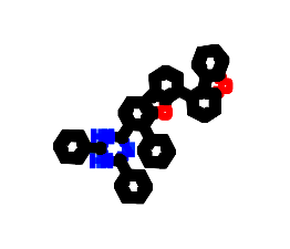 c1ccc(C2=NC(c3ccc4c(oc5c(-c6cccc7oc8ccccc8c67)cccc54)c3-c3ccccc3)NC(c3ccccc3)N2)cc1